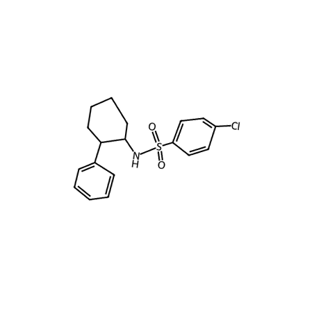 O=S(=O)(NC1CCCCC1c1ccccc1)c1ccc(Cl)cc1